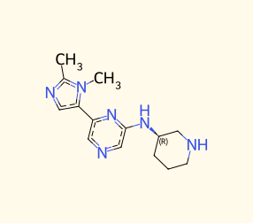 Cc1ncc(-c2cncc(N[C@@H]3CCCNC3)n2)n1C